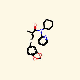 C/C(=C\Cc1ccc2c(c1)OCO2)C(=O)N(c1ccccn1)C1CCCCC1